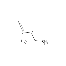 CCCC=O.S